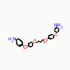 Nc1ccc(Oc2ccc(OCCCCOc3ccc(Oc4ccc(N)cc4)cc3)cc2)cc1